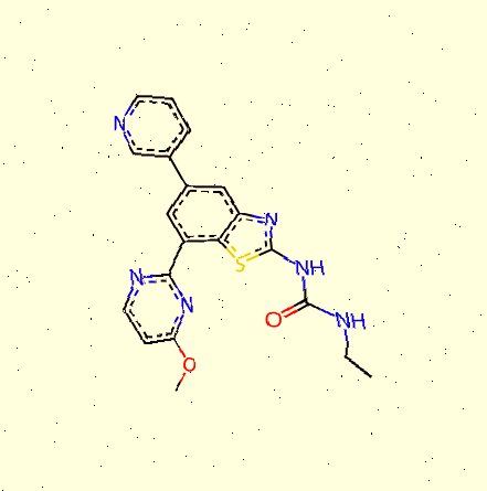 CCNC(=O)Nc1nc2cc(-c3cccnc3)cc(-c3nccc(OC)n3)c2s1